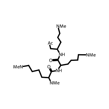 CNCCCCC(NC)C(=O)NC(CCCCNC)C(=O)NC(CCCNC)CC(C)=O